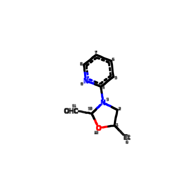 CCC1CN(c2ccccn2)C(C=O)O1